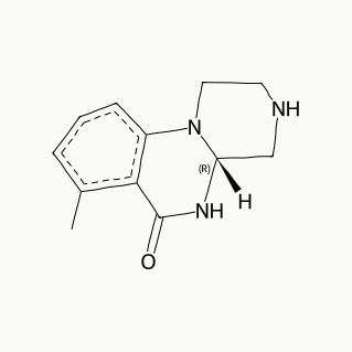 Cc1cccc2c1C(=O)N[C@H]1CNCCN21